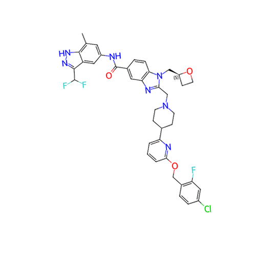 Cc1cc(NC(=O)c2ccc3c(c2)nc(CN2CCC(c4cccc(OCc5ccc(Cl)cc5F)n4)CC2)n3C[C@@H]2CCO2)cc2c(C(F)F)n[nH]c12